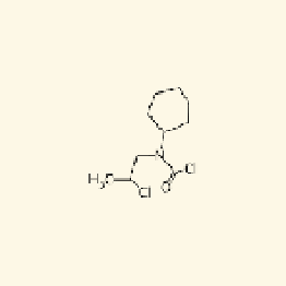 C=C(Cl)CN(C(=O)Cl)C1CCCCC1